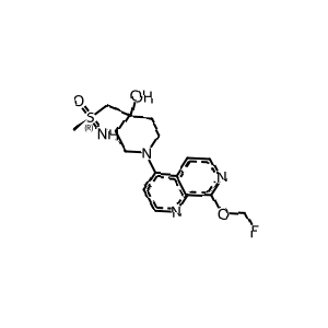 C[S@@](=N)(=O)CC1(O)CCN(c2ccnc3c(OCF)nccc23)CC1